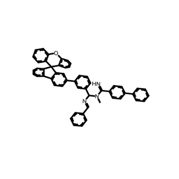 CN(C(=N)c1ccc(-c2ccccc2)cc1)C(/N=C/c1ccccc1)c1cccc(-c2ccc3c(c2)C2(c4ccccc4Oc4ccccc42)c2ccccc2-3)c1